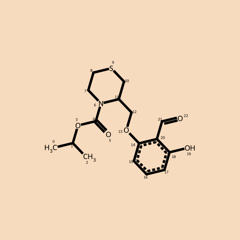 CC(C)OC(=O)N1CCSCC1COc1cccc(O)c1C=O